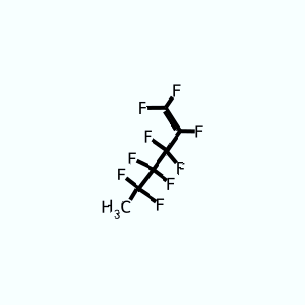 CC(F)(F)C(F)(F)C(F)(F)C(F)=C(F)F